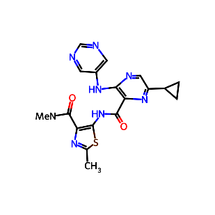 CNC(=O)c1nc(C)sc1NC(=O)c1nc(C2CC2)cnc1Nc1cncnc1